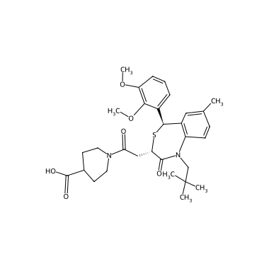 COc1cccc([C@@H]2S[C@@H](CC(=O)N3CCC(C(=O)O)CC3)C(=O)N(CC(C)(C)C)c3ccc(C)cc32)c1OC